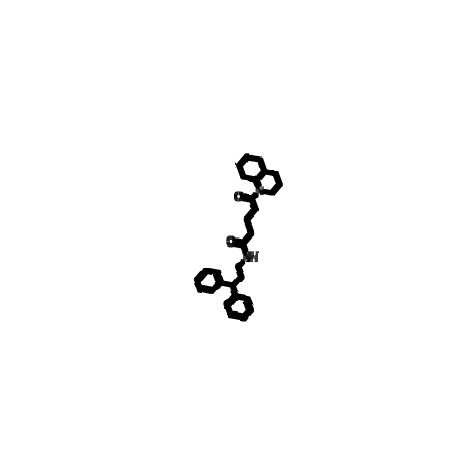 O=C(CCCC(=O)N1CCCC2CCCCC21)NCCC(c1ccccc1)c1ccccc1